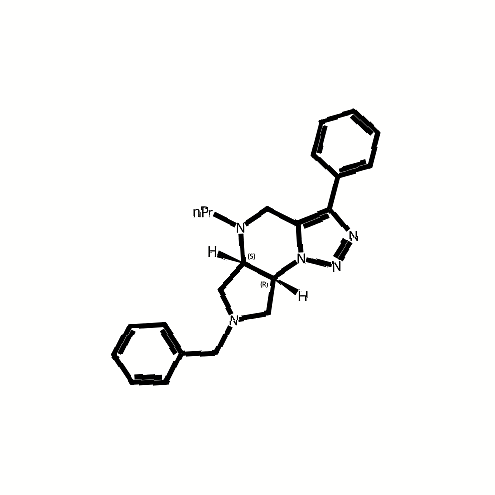 CCCN1Cc2c(-c3ccccc3)nnn2[C@@H]2CN(Cc3ccccc3)C[C@@H]21